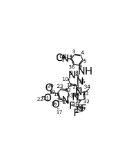 [C-]#[N+]c1cccc(Nc2ncc(-c3cnc(OC)c(C(=O)OC)c3)c(-n3nc(C(F)(F)F)cc3C)n2)c1